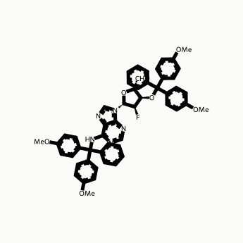 COc1ccc(C(Nc2ncnc3c2ncn3[C@@H]2O[C@H](C=O)[C@@H](OC(c3ccccc3)(c3ccc(OC)cc3)c3ccc(OC)cc3)[C@H]2F)(c2ccccc2)c2ccc(OC)cc2)cc1